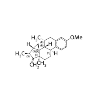 C=C1[C@@H](C)[C@@H]2C[C@]23[C@@H]2[C@H](C)Cc4cc(OC)ccc4[C@H]2CC[C@]13C